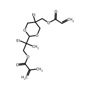 C=CC(=O)OCC1(CC)COC(C(C)(CC)COC(=O)C(=C)C)OC1